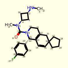 CN[C@H]1C[C@@H](N(C)C(=O)N2CCC3=C(C=CC4(CCCC4)C3)[C@@H]2c2ccc(F)cc2)C1